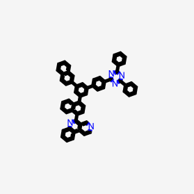 c1ccc(-c2nc(-c3ccccc3)nc(-c3ccc(-c4cc(-c5ccc6ccccc6c5)cc(-c5ccc(-c6nc7ccccc7c7ccncc67)c6ccccc56)c4)cc3)n2)cc1